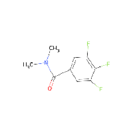 CN(C)C(=O)c1cc(F)c(F)c(F)c1